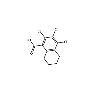 O=C(O)c1c(Cl)c(Cl)c(Cl)c2c1CCCC2